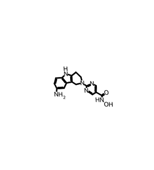 Nc1ccc2[nH]c3c(c2c1)CN(c1ncc(C(=O)NO)cn1)CC3